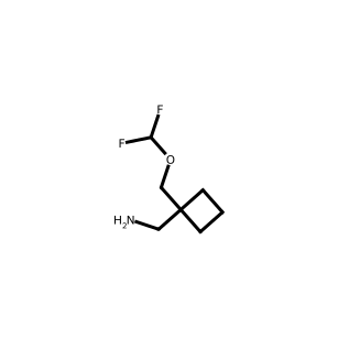 NCC1(COC(F)F)CCC1